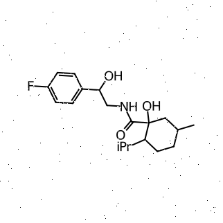 CC1CCC(C(C)C)C(O)(C(=O)NCC(O)c2ccc(F)cc2)C1